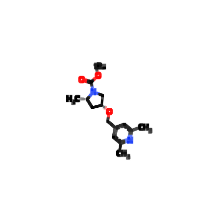 Cc1cc(CO[C@@H]2C[C@H](C)N(C(=O)OC(C)(C)C)C2)cc(C)n1